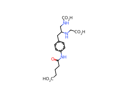 O=C(O)CCCC(=O)Nc1ccc(CC(CNC(=O)O)NCC(=O)O)cc1